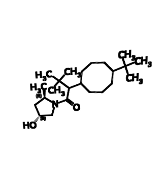 C[C@@H]1C[C@@H](O)CN1C(=O)C(C1CCCC(C(C)(C)C)CCC1)C(C)(C)C